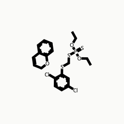 C1=Cc2ccccc2OC1.CCOP(=S)(OCC)SCSc1cc(Cl)ccc1Cl